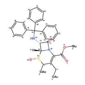 CSC1C(COC(C)=O)=C(C(=O)OC(C)(C)C)N2C(=O)[C@@H](NC(c3ccccc3)(c3ccccc3)c3ccccc3)[C@H]2[S+]1[O-]